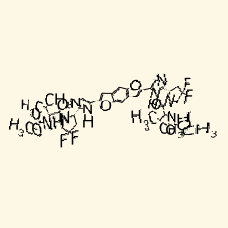 COC(=O)NC(C(=O)N1CC(F)(F)C[C@H]1c1ncc(-c2cc3cc4oc(-c5cnc([C@@H]6CC(F)(F)CN6C(=O)[C@@H](NC(=O)OC)C(C)C)[nH]5)cc4cc3o2)[nH]1)C(C)C